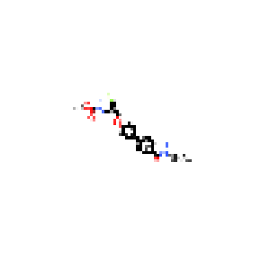 CC(=O)NNC(=O)C12CCC(c3ccc(OC/C(=C/F)CNC(=O)OC(C)(C)C)cc3)(CC1)CC2